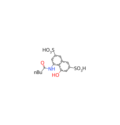 CCCCC(=O)Nc1cc(S(=O)(=O)O)cc2cc(S(=O)(=O)O)cc(O)c12